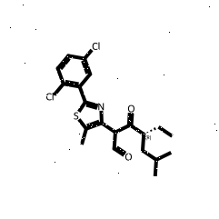 CC[C@H](CC(C)C)C(=O)C(C=O)c1nc(-c2cc(Cl)ccc2Cl)sc1C